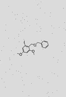 COc1cc(I)c(COCc2ccccc2)c(OC)c1